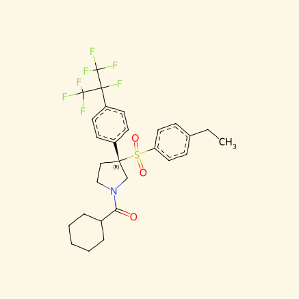 CCc1ccc(S(=O)(=O)[C@@]2(c3ccc(C(F)(C(F)(F)F)C(F)(F)F)cc3)CCN(C(=O)C3CCCCC3)C2)cc1